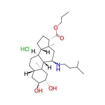 CCCOC(=O)[C@H]1CC[C@H]2[C@@H]3CC[C@H]4C[C@H](O)[C@@H](O)C[C@]4(C)[C@H]3[C@H](NCCC(C)C)C[C@]12C.Cl